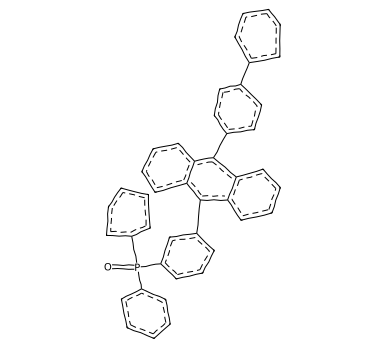 O=P(c1ccccc1)(c1ccccc1)c1cccc(-c2c3ccccc3c(-c3ccc(-c4ccccc4)cc3)c3ccccc23)c1